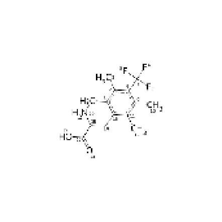 Cc1c(C)c(C(F)(F)F)c(C)c(C)c1CC(N)C(=O)O